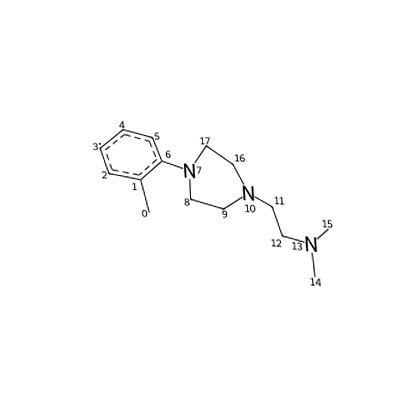 Cc1c[c]ccc1N1CCN(CCN(C)C)CC1